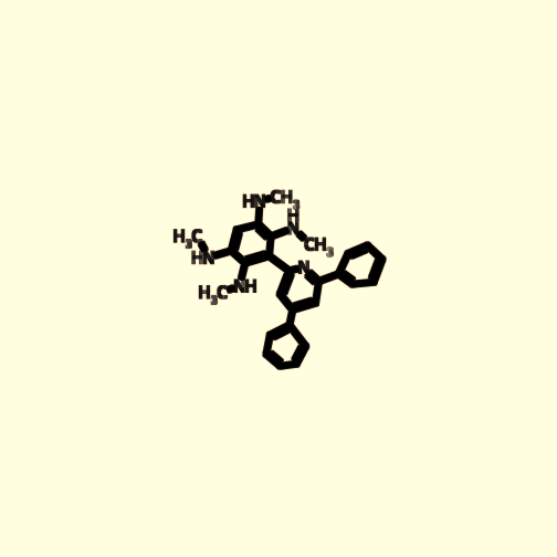 CNc1cc(NC)c(NC)c(-c2cc(-c3ccccc3)cc(-c3ccccc3)n2)c1NC